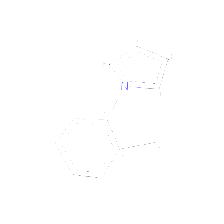 [CH2]c1ccccc1-n1cccc1